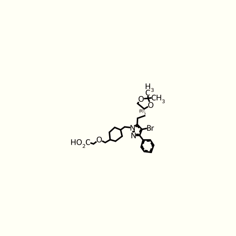 CC1(C)OC[C@@H](CCc2c(Br)c(-c3ccccc3)nn2CC2CCC(COCC(=O)O)CC2)O1